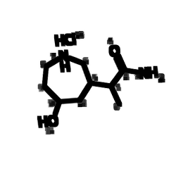 CC(C(N)=O)C1CNCCC(O)C1.Cl